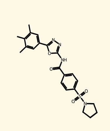 Cc1cc(-c2nnc(NC(=O)c3ccc(S(=O)(=O)N4CCCC4)cc3)o2)cc(C)c1C